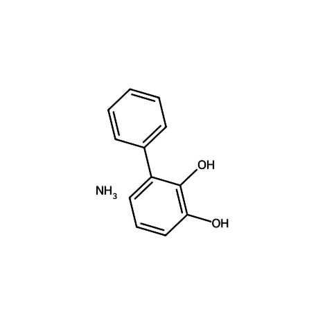 N.Oc1cccc(-c2ccccc2)c1O